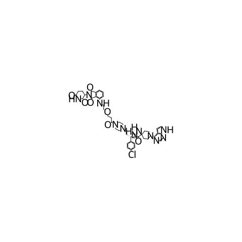 NC1(C(=O)N[C@@H](CCN2CCN(C(=O)CCOCCNc3cccc4c3C(=O)N(C3CCC(=O)NC3=O)C4=O)CC2)c2ccc(Cl)cc2)CCN(c2ncnc3[nH]ccc23)CC1